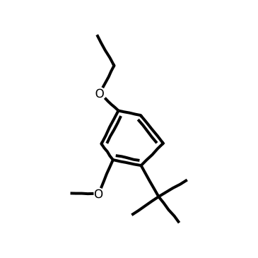 CCOc1ccc(C(C)(C)C)c(OC)c1